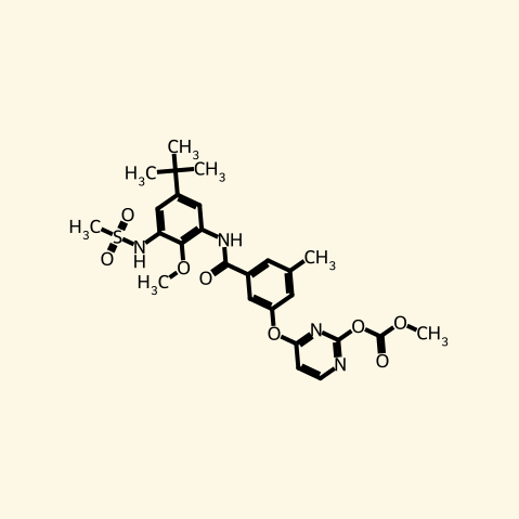 COC(=O)Oc1nccc(Oc2cc(C)cc(C(=O)Nc3cc(C(C)(C)C)cc(NS(C)(=O)=O)c3OC)c2)n1